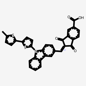 Cc1ccc(-c2ccc(-n3c4ccccc4c4cc(/C=C5/C(=O)c6ccc(C(=O)O)cc6C5=O)ccc43)s2)s1